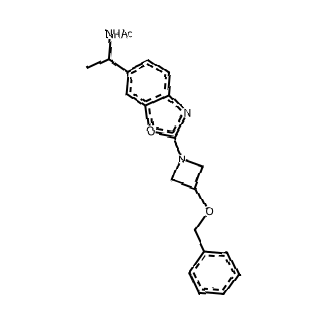 CC(=O)NC(C)c1ccc2nc(N3CC(OCc4ccccc4)C3)oc2c1